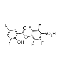 O=C(Oc1c(F)c(F)c(S(=O)(=O)O)c(F)c1F)c1cc(I)cc(I)c1O